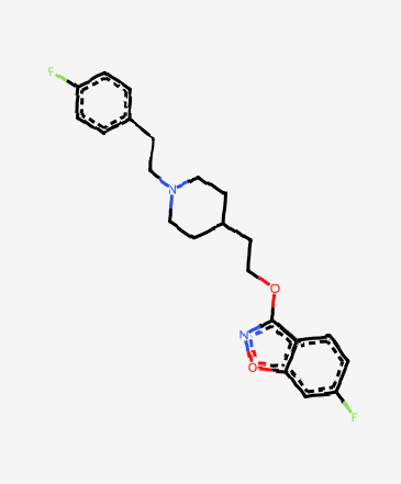 Fc1ccc(CCN2CCC(CCOc3noc4cc(F)ccc34)CC2)cc1